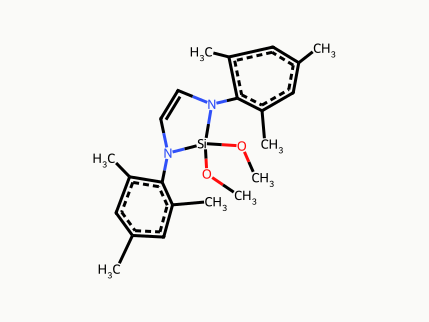 CO[Si]1(OC)N(c2c(C)cc(C)cc2C)C=CN1c1c(C)cc(C)cc1C